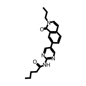 CCCCC(=O)Nc1ncc(-c2ccc3ccn(CCC)c(=O)c3c2)cn1